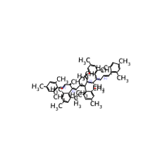 C=C(/C=C/c1c(C)cc(C)cc1C)/C(=C(/C)C1=C(c2c(C)cc(C)cc2C)/C(=C(C)/C(=C/C=C/c2c(C)cc(C)cc2C)c2c(C)cc(C)cc2C)N(C)CC1)c1c(C)cc(C)cc1C